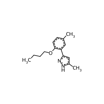 CCCCOc1ccc(C)cc1-c1cc(C)[nH]n1